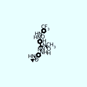 CC(CO)Nc1nc(Nc2ccc(S(=N)(=O)C3CC3)cc2)ncc1-c1ccc(NC(=O)Nc2cccc(C(F)(F)F)c2)cc1